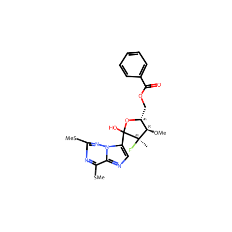 CO[C@@H]1[C@@H](COC(=O)c2ccccc2)OC(O)(c2cnc3c(SC)nc(SC)nn23)[C@]1(C)F